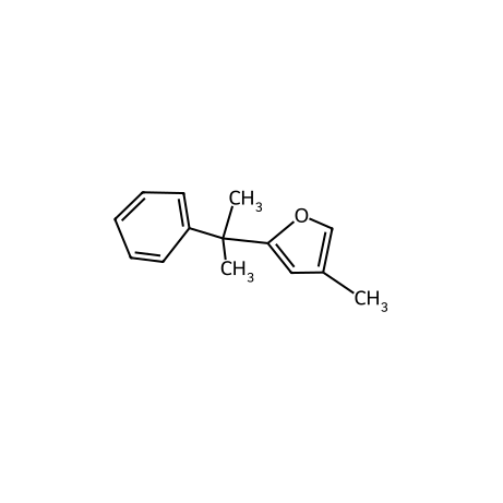 Cc1coc(C(C)(C)c2ccccc2)c1